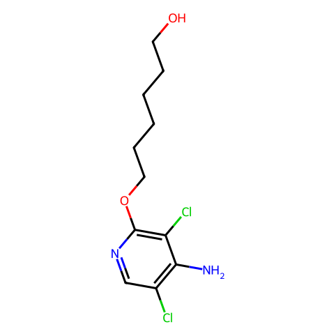 Nc1c(Cl)cnc(OCCCCCCO)c1Cl